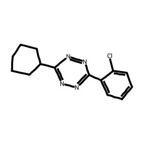 Clc1ccccc1-c1nnc(C2CCCCC2)nn1